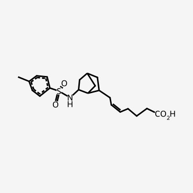 Cc1ccc(S(=O)(=O)NC2CC3CC(C/C=C\CCCC(=O)O)C2C3)cc1